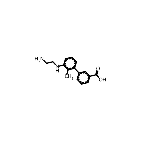 Cc1c(NCCN)cccc1-c1cccc(C(=O)O)c1